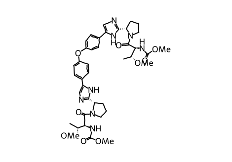 COC(=O)N[C@H](C(=O)N1CCC[C@H]1c1ncc(-c2ccc(Oc3ccc(-c4cnc([C@@H]5CCCN5C(=O)[C@@H](NC(=O)OC)[C@@H](C)OC)[nH]4)cc3)cc2)[nH]1)[C@@H](C)OC